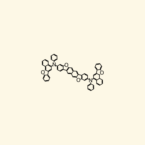 C1=CC2=C(N(c3ccccc3)c3ccc4c(c3)oc3cc5cc6c(cc5cc34)oc3cc(N(c4ccccc4)c4cc5c7ccccc7oc5c5ccccc45)ccc36)C=C3c4ccccc4OC3C2C=C1